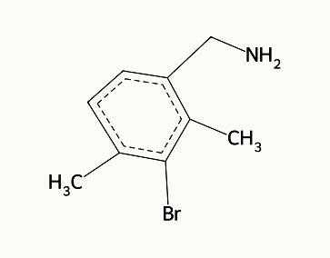 Cc1ccc(CN)c(C)c1Br